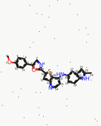 COc1ccc(-c2cnc(-c3cc4nccc(Nc5ccc6[nH]c(C)cc6c5)c4s3)o2)cc1